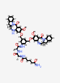 COc1cc2c(cc1OCc1cc(COc3cc4c(cc3OC)C(=O)N3c5ccccc5C[C@H]3CN4)cc(NC(=O)[C@H](C)NC(=O)[C@@H](C)NC(=O)CCCCC(N)=O)c1)N=C[C@@H]1Cc3ccccc3N1C2=O